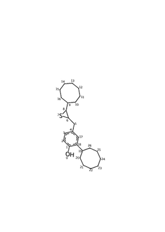 Oc1ccc(CC2SC2C2CCCCCCC2)cc1C1CCCCCCC1